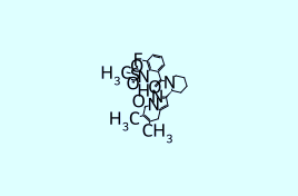 CC1=C(C)C(=O)n2nc([C@@H]3CCCCN3C(=O)c3cccc(F)c3NS(C)(=O)=O)cc2C1